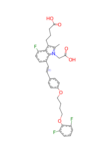 Cc1c(CCCC(=O)O)c2c(F)ccc(/C=C/c3ccc(OCCCCOc4c(F)cccc4F)cc3)c2n1CC(=O)O